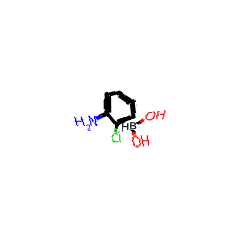 Nc1ccccc1Cl.OBO